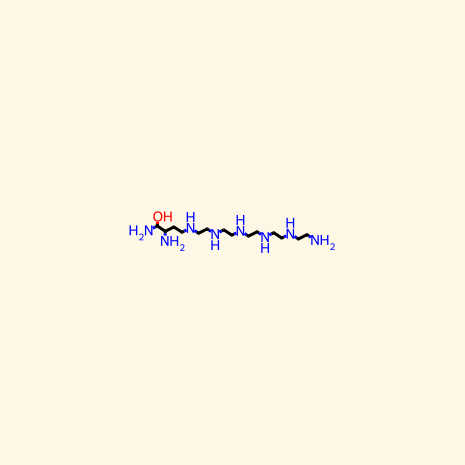 NCCNCCNCCNCCNCCNCCC(N)C(N)O